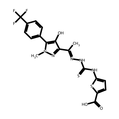 C/C(=N\NC(=S)Nc1ccc(C(=O)O)s1)c1nn(C)c(-c2ccc(C(F)(F)F)cc2)c1O